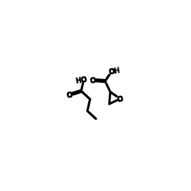 CCCC(=O)O.O=C(O)C1CO1